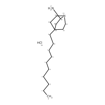 CCCCCCCCCCC12CCN(CC1)C(N)C2.Cl